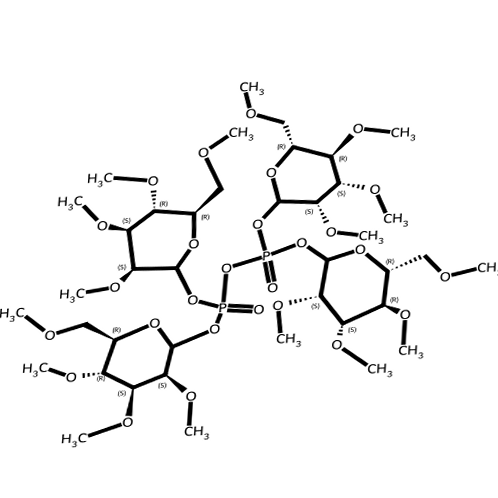 COC[C@H]1OC(OP(=O)(OC2O[C@H](COC)[C@@H](OC)[C@H](OC)[C@@H]2OC)OP(=O)(OC2O[C@H](COC)[C@@H](OC)[C@H](OC)[C@@H]2OC)OC2O[C@H](COC)[C@@H](OC)[C@H](OC)[C@@H]2OC)[C@@H](OC)[C@@H](OC)[C@@H]1OC